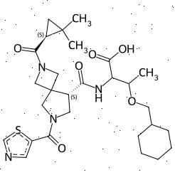 CC(OCC1CCCCC1)C(NC(=O)[C@@H]1CN(C(=O)c2cncs2)CC12CN(C(=O)[C@H]1CC1(C)C)C2)C(=O)O